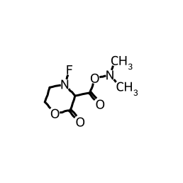 CN(C)OC(=O)C1C(=O)OCCN1F